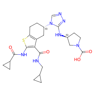 O=C(NCC1CC1)c1c(NC(=O)C2CC2)sc2c1C[C@@H](n1cnnc1N[C@H]1CCN(C(=O)O)C1)CC2